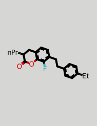 CCCC1Cc2ccc(CCc3ccc(CC)cc3)c(F)c2OC1=O